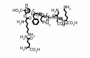 CC(C)C[C@H](N)C(=O)O.CC[C@H](C)[C@H](N)C(=O)O.NC(=O)CC[C@H](N)C(=O)O.NCC(=O)NCC(=O)O.NCCCC[C@H](N)C(=O)OC1CCN[C@@H]1C(=O)O.NCCCC[C@H](NO)C(=O)O.N[C@@H](Cc1ccccc1)C(=O)O